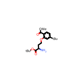 COC(=O)c1ccc(C(C)(C)C)cc1OCCC(N)C(=O)OC(C)(C)C